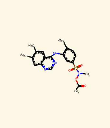 COc1cc2ncnc(Nc3cc(S(=O)(=O)N(C)OC(=O)C(F)(F)F)ccc3SC)c2cc1OC